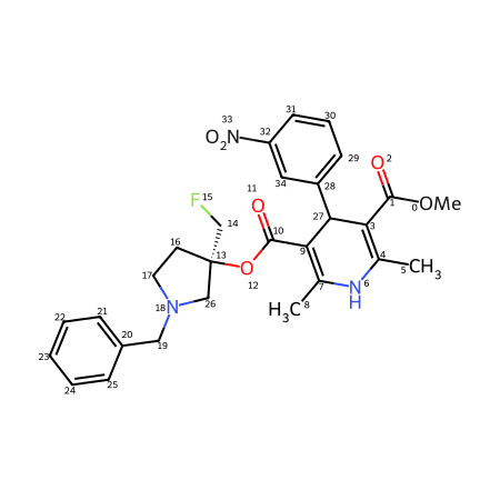 COC(=O)C1=C(C)NC(C)=C(C(=O)O[C@]2(CF)CCN(Cc3ccccc3)C2)C1c1cccc([N+](=O)[O-])c1